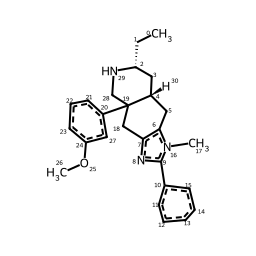 CC[C@@H]1C[C@@H]2Cc3c(nc(-c4ccccc4)n3C)CC2(c2cccc(OC)c2)CN1